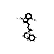 Cc1cccc2c1c(CCC(=O)N1CCO[C@@H]3CCCCC31)cn2C